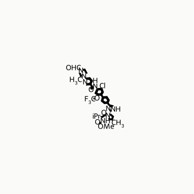 COC(=O)N[C@H](C(=O)N1C[C@@H](C)C[C@H]1c1nc(-c2ccc(-c3cc(Cl)c(NC(=O)c4ccc(N5CCN(C=O)C[C@H]5C)nc4)cc3OC(F)(F)F)cc2)c[nH]1)C(C)C